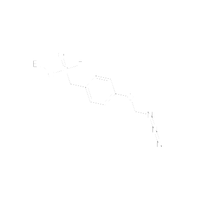 CCOP(=O)(F)Cc1ccc(OCN=[N+]=[N-])cc1